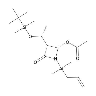 C=CC[Si](C)(C)N1C(=O)[C@H]([C@@H](C)O[Si](C)(C)C(C)(C)C)[C@@H]1OC(C)=O